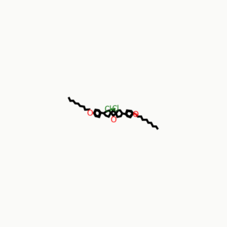 CCCCCCCCCOc1ccc(C2CCC3(CC2)C(=O)C2(CCC(c4ccc(OCCCCCCCCC)cc4)CC2)C3(Cl)Cl)cc1